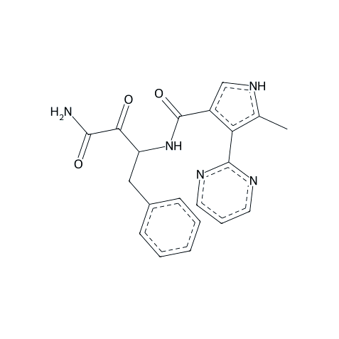 Cc1[nH]cc(C(=O)NC(Cc2ccccc2)C(=O)C(N)=O)c1-c1ncccn1